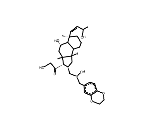 CC(O)/C=C\[C@@]1(C)CCCC2C1[C@@H](O)CC1(C)[C@H]2C[C@@H](CN(O)Cc2ccc3c(c2)OCCO3)[C@@H]1C(=O)CO